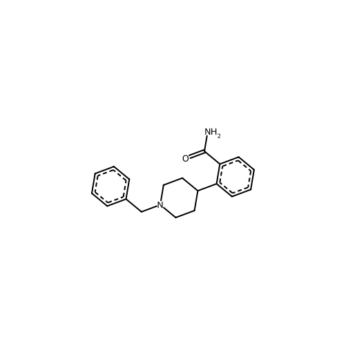 NC(=O)c1ccccc1C1CCN(Cc2ccccc2)CC1